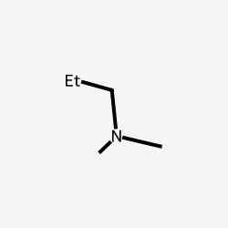 [CH2]CCN(C)C